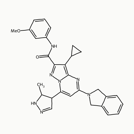 COc1cccc(NC(=O)c2nn3c(C4C=NNC4C)cc(N4Cc5ccccc5C4)nc3c2C2CC2)c1